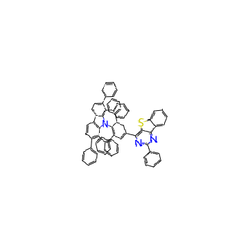 C1=C(c2nc(-c3ccccc3)nc3c2sc2ccccc23)CC(c2ccccc2)C(n2c3c(-c4ccccc4)c(-c4ccccc4)ccc3c3ccc(-c4ccccc4)c(-c4ccccc4)c32)=C1c1ccccc1